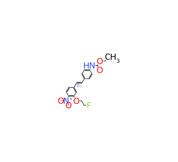 CCOC(=O)Nc1ccc(/C=C/c2ccc([N+](=O)[O-])c(OCCF)c2)cc1